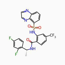 C[C@@H](NC(=O)c1ccc(C(F)(F)F)cc1NS(=O)(=O)c1cccc2nccnc12)c1ccc(F)cc1F